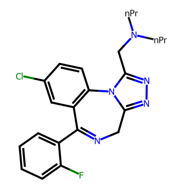 CCCN(CCC)Cc1nnc2n1-c1ccc(Cl)cc1C(c1ccccc1F)=NC2